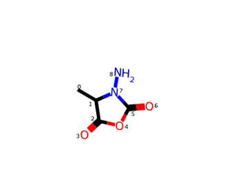 CC1C(=O)OC(=O)N1N